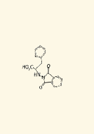 O=C(O)C(Cc1ccccc1)NN1C(=O)c2ccccc2C1=O